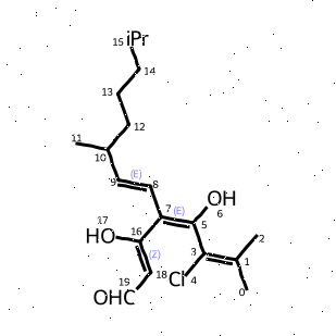 CC(C)=C(Cl)/C(O)=C(/C=C/C(C)CCCC(C)C)C(\O)=C\C=O